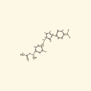 Cc1cc(C(O)CC(=O)O)ccc1OCc1csc(-c2ccc(C(C)C)cc2)n1